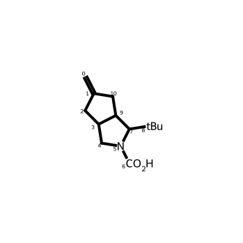 C=C1CC2CN(C(=O)O)C(C(C)(C)C)C2C1